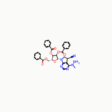 CN(N)c1ncnc2c1C(C#N)CN2[C@@H]1O[C@H](COC(=O)c2ccccc2)C(OC(=O)c2ccccc2)C1OC(=O)c1ccccc1